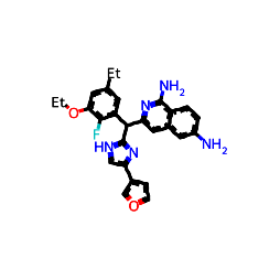 CCOc1cc(CC)cc(C(c2cc3cc(N)ccc3c(N)n2)c2nc(-c3ccoc3)c[nH]2)c1F